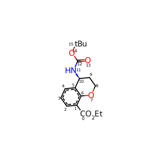 CCOC(=O)c1cccc2c1OCC[C@@H]2NC(=O)OC(C)(C)C